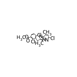 COC(=O)c1ccc(Cl)c(Cc2nc3c(C)cc(Cl)nn3c2C)c1Cl